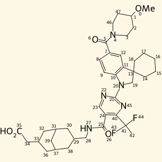 COC1CCN(C(=O)c2ccc3c(c2)C2(CCCCC2)CN3c2ncc(C(=O)NCC3CC4CC(CC(=O)O)CC(C3)C4)c(C(C)(F)F)n2)CC1